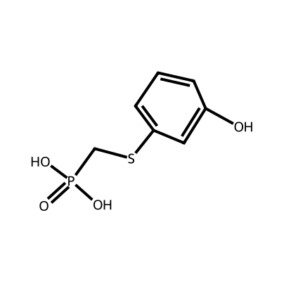 O=P(O)(O)CSc1cccc(O)c1